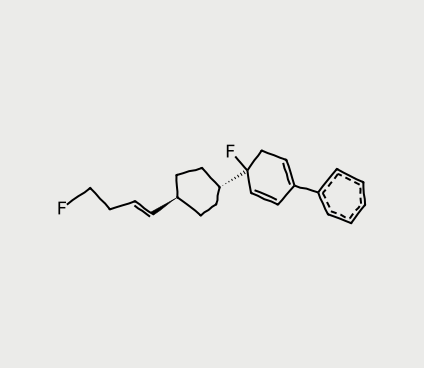 FCCC=C[C@H]1CC[C@H](C2(F)C=CC(c3ccccc3)=CC2)CC1